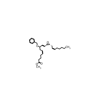 CCCCC/C=C\C[C@H]1O[C@@H]1/C=C/C(C/C=C\CCCC(=O)OC)OCc1ccccc1